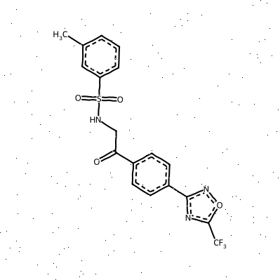 Cc1cccc(S(=O)(=O)NCC(=O)c2ccc(-c3noc(C(F)(F)F)n3)cc2)c1